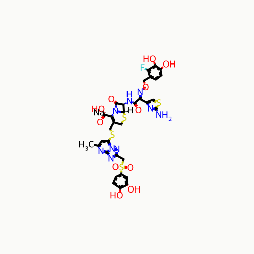 Cc1cc(SCC2=C(C(=O)O)N3C(=O)[C@@H](NC(=O)C(=NOCc4ccc(O)c(O)c4F)c4csc(N)n4)[C@H]3SC2)n2nc(CS(=O)(=O)c3ccc(O)c(O)c3)nc2n1.[Na]